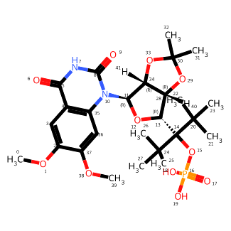 COc1cc2c(=O)[nH]c(=O)n([C@@H]3O[C@@H](C(OP(=O)(O)O)(C(C)(C)C)C(C)(C)C)[C@H]4OC(C)(C)O[C@H]43)c2cc1OC